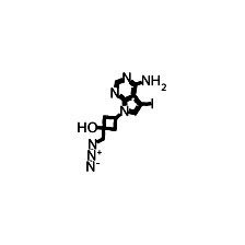 [N-]=[N+]=NCC1(O)CC(n2cc(I)c3c(N)ncnc32)C1